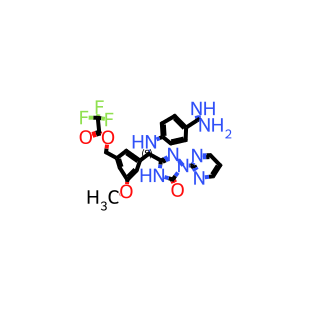 COc1cc(COC(=O)C(F)(F)F)cc([C@H](Nc2ccc(C(=N)N)cc2)c2nn(-c3ncccn3)c(=O)[nH]2)c1